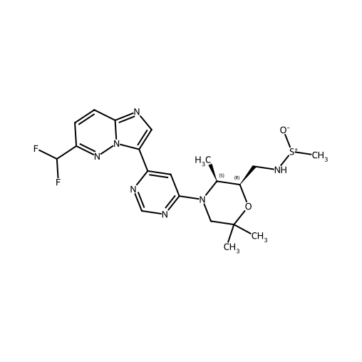 C[C@H]1[C@@H](CN[S+](C)[O-])OC(C)(C)CN1c1cc(-c2cnc3ccc(C(F)F)nn23)ncn1